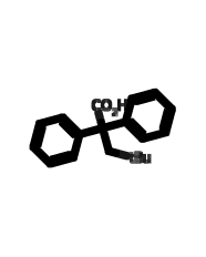 CC(C)(C)CC(C(=O)O)(c1ccccc1)c1ccccc1